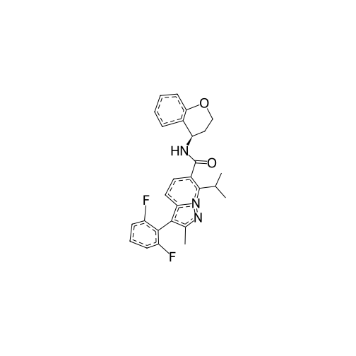 Cc1nn2c(C(C)C)c(C(=O)N[C@@H]3CCOc4ccccc43)ccc2c1-c1c(F)cccc1F